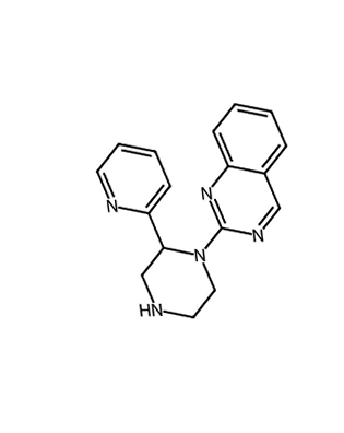 c1ccc(C2CNCCN2c2ncc3ccccc3n2)nc1